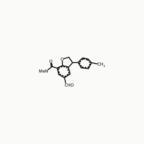 CNC(=O)c1cc(C=O)cc2c1OCC2c1ccc(C)cc1